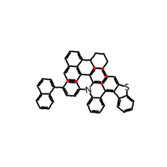 c1ccc(N(c2ccc(-c3cccc4ccccc34)cc2)c2ccccc2-c2cccc3sc4ccccc4c23)c(-c2cccc3cccc(C4CCCCC4)c23)c1